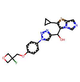 OC(c1cn(-c2ccc(OCC3(F)COC3)cc2)nn1)c1c(C2CC2)sc2cncn12